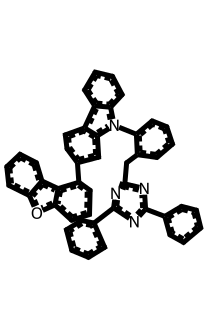 c1ccc(-c2nc(Cc3ccccc3-n3c4ccccc4c4ccc(-c5cccc6oc7ccccc7c56)cc43)nc(-c3ccccc3)n2)cc1